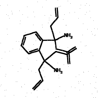 C=CCC(N)(CC=C)c1ccccc1C(N)(CC=C)CC=C